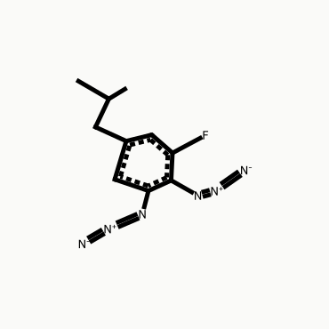 CC(C)Cc1cc(F)c(N=[N+]=[N-])c(N=[N+]=[N-])c1